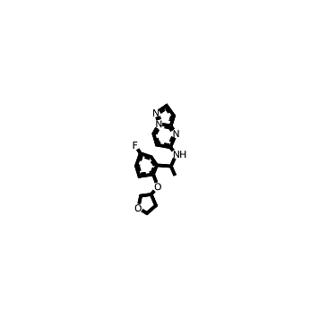 CC(Nc1ccn2nccc2n1)c1cc(F)ccc1OC1CCOC1